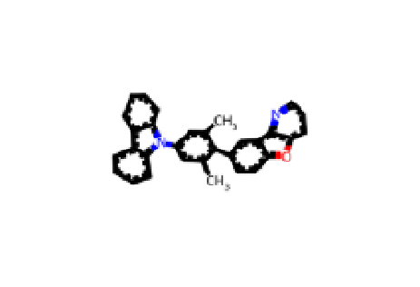 Cc1cc(-n2c3ccccc3c3ccccc32)cc(C)c1-c1ccc2oc3cccnc3c2c1